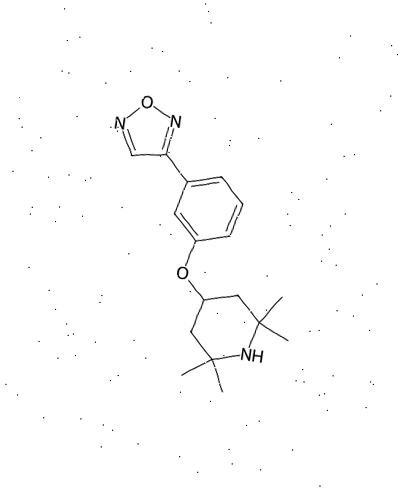 CC1(C)CC(Oc2cccc(-c3cnon3)c2)CC(C)(C)N1